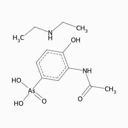 CC(=O)Nc1cc([As](=O)(O)O)ccc1O.CCNCC